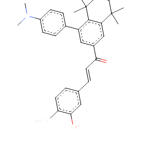 CN(C)c1ccc(-c2cc(C(=O)/C=C/c3ccc(C(=O)O)c(O)c3)cc3c2C(C)(C)CCC3(C)C)cc1